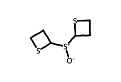 [O-][S+](C1CCS1)C1CCS1